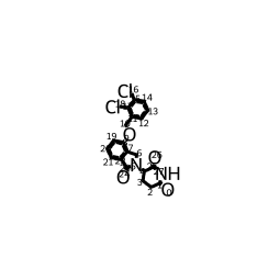 O=C1CCC(N2Cc3c(OCc4cccc(Cl)c4Cl)cccc3C2=O)C(=O)N1